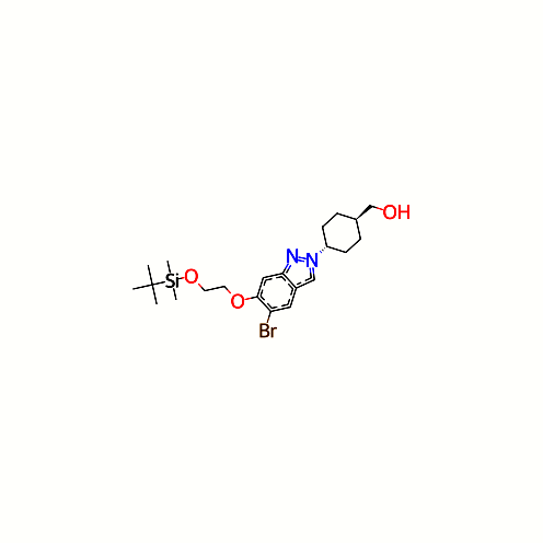 CC(C)(C)[Si](C)(C)OCCOc1cc2nn([C@H]3CC[C@H](CO)CC3)cc2cc1Br